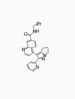 CC(C)CNC(=O)c1ccc2c(-c3c(-c4ccccn4)nn4c3CCC4)ccnc2c1